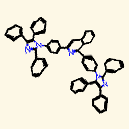 C1=CCC2C(=C1)C=C(c1ccc(-n3c(-c4ccccc4)nc(-c4ccccc4)c3-c3ccccc3)cc1)N=C2c1ccc(-n2c(-c3ccccc3)nc(-c3ccccc3)c2-c2ccccc2)cc1